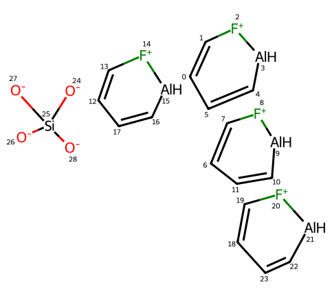 C1=C[F+][AlH][CH]=C1.C1=C[F+][AlH][CH]=C1.C1=C[F+][AlH][CH]=C1.C1=C[F+][AlH][CH]=C1.[O-][Si]([O-])([O-])[O-]